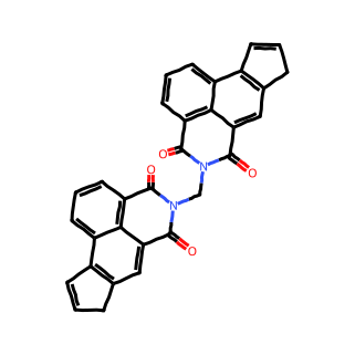 O=C1c2cccc3c4c(cc(c23)C(=O)N1CN1C(=O)c2cccc3c5c(cc(c23)C1=O)CC=C5)CC=C4